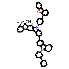 CC1(C)c2ccccc2-c2cc3c4cc(-c5ccc6c(c5)c5c(n6-c6cccc(-c7ccccc7)c6)CCC=C5)ccc4n(-c4ccc(-c5cccc6c5oc5ccccc56)cc4)c3cc21